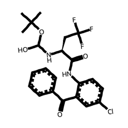 CC(C)(C)OC(O)N[C@@H](CC(F)(F)F)C(=O)Nc1ccc(Cl)cc1C(=O)c1ccccc1